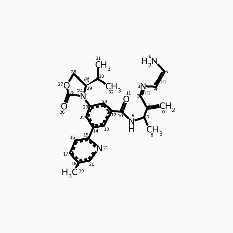 C=C(/C=N\C=C/N)C(C)NC(=O)c1cc(-c2ccc(C)cn2)cc(N2C(=O)OC[C@H]2C(C)C)c1